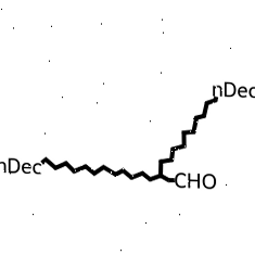 CCCCCCCCCCCCCCCCCCCCCCC(CC=O)CCCCCCCCCCCCCCCCCCCC